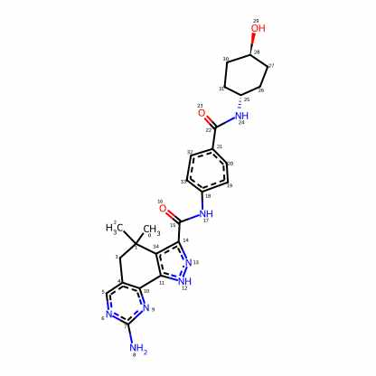 CC1(C)Cc2cnc(N)nc2-c2[nH]nc(C(=O)Nc3ccc(C(=O)N[C@H]4CC[C@H](O)CC4)cc3)c21